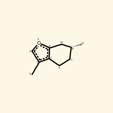 Cc1coc2c1CC[C@@H](C)C2